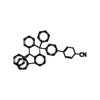 N#CC1C=CC(c2ccc(C3(c4ccccc4)c4ccccc4C4(c5ccccc5)c5ccccc5-c5cccc3c54)cc2)=CC1